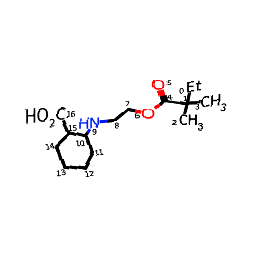 CCC(C)(C)C(=O)OCCNC1CCCCC1C(=O)O